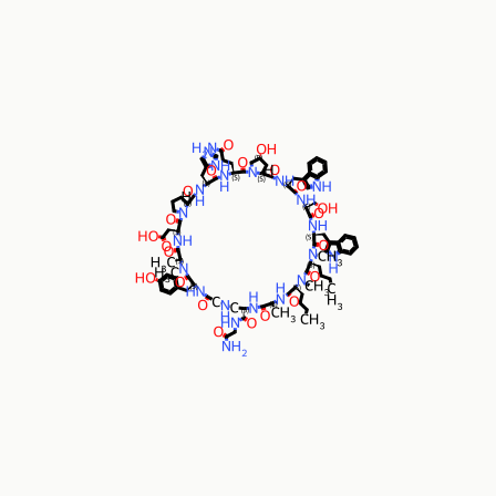 CCCC[C@H]1C(=O)N(C)[C@@H](CCCC)C(=O)N[C@@H](C)C(=O)N[C@H](C(=O)NCC(N)=O)CNCC(=O)N[C@@H](Cc2ccc(O)cc2)C(=O)N(C)[C@@H](C)C(=O)N[C@@H](CC(=O)O)C(=O)N2CCC[C@H]2C(=O)N[C@@H](Cc2cnc[nH]2)C(=O)N[C@@H](CCC(N)=O)C(=O)N2C[C@H](O)C[C@H]2C(=O)N[C@@H](Cc2c[nH]c3ccccc23)C(=O)N[C@@H](CO)C(=O)N[C@@H](Cc2c[nH]c3ccccc23)C(=O)N1C